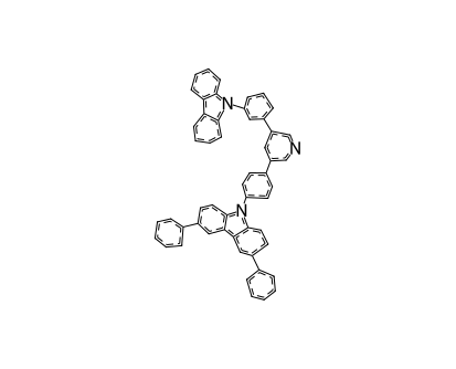 c1ccc(-c2ccc3c(c2)c2cc(-c4ccccc4)ccc2n3-c2ccc(-c3cncc(-c4cccc(-n5c6ccccc6c6ccccc65)c4)c3)cc2)cc1